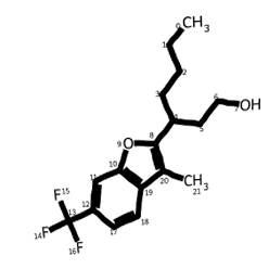 CCCCC(CCO)c1oc2cc(C(F)(F)F)ccc2c1C